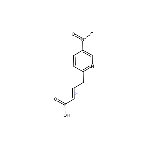 O=C(O)/C=C/Cc1ccc([N+](=O)[O-])cn1